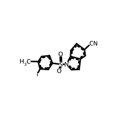 Cc1ccc(S(=O)(=O)n2ccc3cc(C#N)ccc32)cc1I